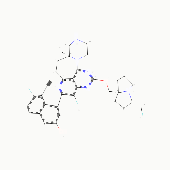 C#Cc1c(F)ccc2cc(O)cc(-c3nc4c5c(nc(OC[C@@]67CCCN6[C@H](CF)CC7)nc5c3F)N3CCNC[C@H]3CC4)c12